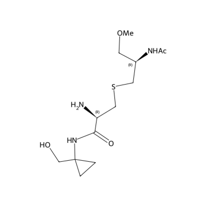 COC[C@H](CSC[C@H](N)C(=O)NC1(CO)CC1)NC(C)=O